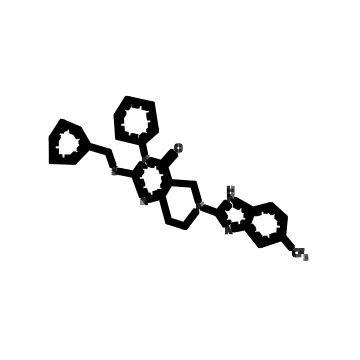 O=c1c2c(nc(SCc3ccccc3)n1-c1ccccc1)CCN(c1nc3cc(C(F)(F)F)ccc3[nH]1)C2